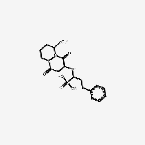 O=C(O)C1CCCN2C(=O)CC(NC(CCc3ccccc3)P(=O)(O)O)C(=O)N12